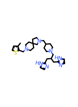 Cc1ccsc1CN1CCC2(CC1)CCN(CC1CCN(CC(Cc3ncc[nH]3)Cc3ncc[nH]3)CC1)C2